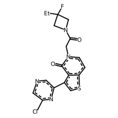 CCC1(F)CN(C(=O)Cn2ccc3scc(-c4cncc(Cl)n4)c3c2=O)C1